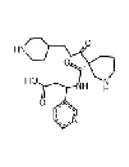 O=C(O)CC(NC(=O)[C@]1(C(=O)CCC2CCNCC2)CCCNC1)c1cccnc1